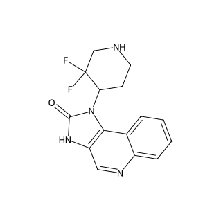 O=c1[nH]c2cnc3ccccc3c2n1C1CCNCC1(F)F